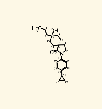 CCC[C@]1(O)CC[C@@]2(CCN(c3ccc(C4CC4)cc3)C2=O)CC1